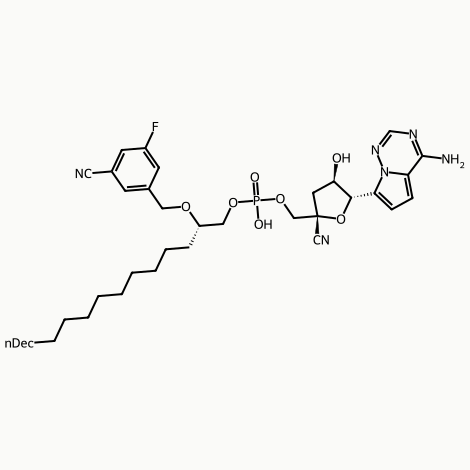 CCCCCCCCCCCCCCCCCCC[C@@H](COP(=O)(O)OC[C@]1(C#N)C[C@@H](O)[C@H](c2ccc3c(N)ncnn23)O1)OCc1cc(F)cc(C#N)c1